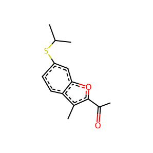 CC(=O)c1oc2cc(SC(C)C)ccc2c1C